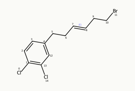 Clc1ccc(CC/C=C/CCBr)cc1Cl